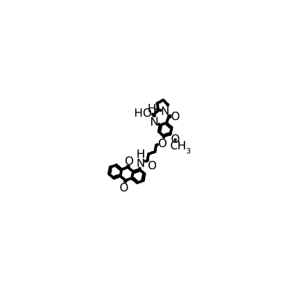 COc1cc2c(cc1OCCCC(=O)Nc1cccc3c1C(=O)c1ccccc1C3=O)N=C(O)[C@@H]1CCCN1C2=O